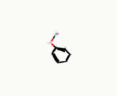 [CH2]CCOc1c[c]ccc1